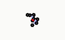 c1ccc(N(c2ccccc2)c2cccc3c4cccc5c6c7c8cccc9c%10cc%11ccccc%11cc%10n(c7cnc6n(c23)c45)c98)cc1